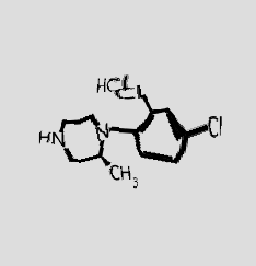 C[C@H]1CNCCN1c1ccc(Cl)cc1Cl.Cl